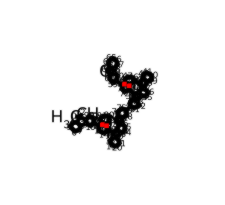 CC1(C)c2ccccc2-c2cc(-c3ccc(-n4c5ccccc5c5ccc6c7cc(-c8ccc9c%10ccc%11c%12ccccc%12n(-c%12ccccc%12)c%11c%10n(-c%10ccc(-c%11ccc%12oc%13ccccc%13c%12c%11)cc%10)c9c8)ccc7n(-c7ccccc7)c6c54)cc3)ccc21